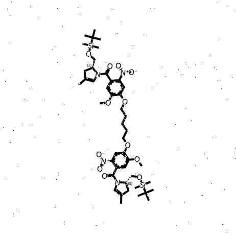 COc1cc(C(=O)N2C=C(C)C[C@H]2CO[Si](C)(C)C(C)(C)C)c([N+](=O)[O-])cc1OCCCCCOc1cc([N+](=O)[O-])c(C(=O)N2C=C(C)C[C@H]2CO[Si](C)(C)C(C)(C)C)cc1OC